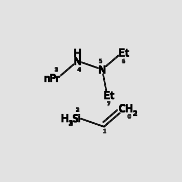 C=C[SiH3].CCCNN(CC)CC